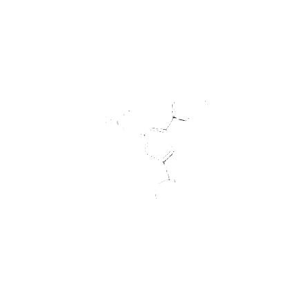 COC(=O)c1cc(O[PH](=O)O)cc(C(=O)OC)c1